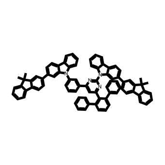 CC1(C)c2ccccc2-c2ccc(-c3ccc4c5ccccc5n(-c5cccc(-c6cc(-c7c(-c8ccccc8)cccc7-c7ccccc7)nc(-n7c8ccccc8c8ccc(-c9ccc%10c(c9)C(C)(C)c9ccccc9-%10)cc87)n6)c5)c4c3)cc21